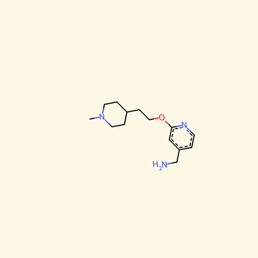 CN1CCC(CCOc2cc(CN)ccn2)CC1